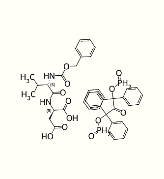 CC(C)[C@H](NC(=O)OCc1ccccc1)C(=O)N[C@H](CC(=O)O)C(=O)O.O=[PH2]OC(C(=O)C(O[PH2]=O)(c1ccccc1)c1ccccc1)(c1ccccc1)c1ccccc1